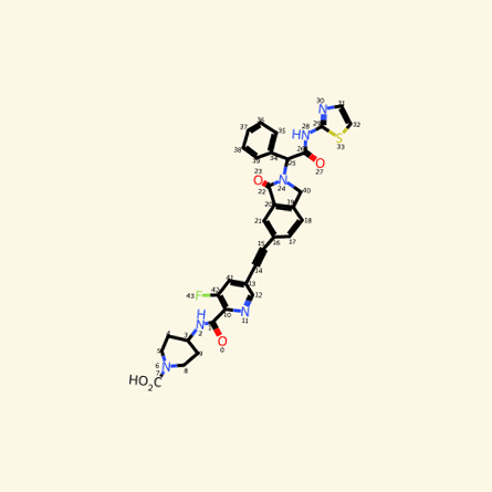 O=C(NC1CCN(C(=O)O)CC1)c1ncc(C#Cc2ccc3c(c2)C(=O)N(C(C(=O)Nc2nccs2)c2ccccc2)C3)cc1F